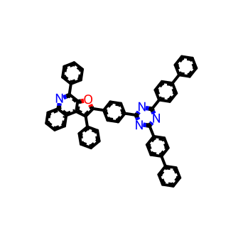 c1ccc(-c2ccc(-c3nc(-c4ccc(-c5ccccc5)cc4)nc(-c4ccc(-c5oc6c(-c7ccccc7)nc7ccccc7c6c5-c5ccccc5)cc4)n3)cc2)cc1